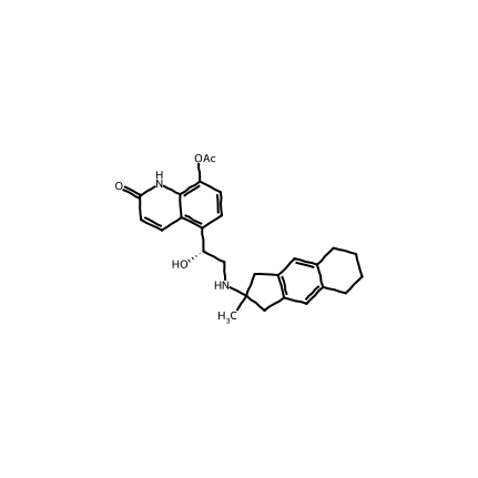 CC(=O)Oc1ccc([C@@H](O)CNC2(C)Cc3cc4c(cc3C2)CCCC4)c2ccc(=O)[nH]c12